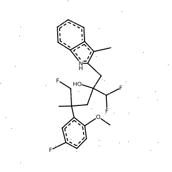 COc1ccc(F)cc1C(C)(CF)CC(O)(Cc1[nH]c2ccccc2c1C)C(F)F